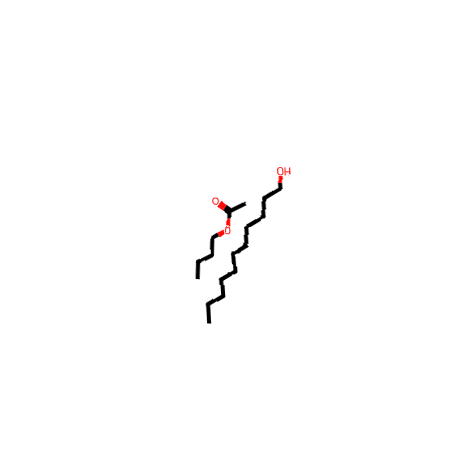 CCCCCCCCCCCO.CCCCOC(C)=O